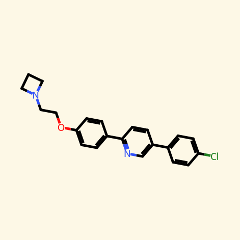 Clc1ccc(-c2ccc(-c3ccc(OCCN4CCC4)cc3)nc2)cc1